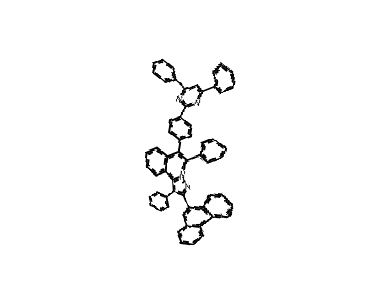 c1ccc(-c2cc(-c3ccccc3)nc(-c3ccc(-c4c(-c5ccccc5)n5nc(-c6cc7ccccc7c7ccccc67)c(-c6ccccc6)c5c5ccccc45)cc3)n2)cc1